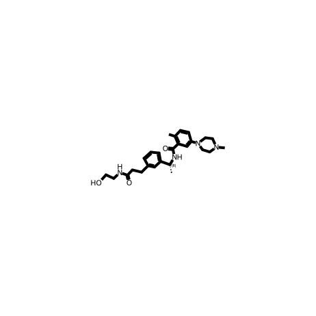 Cc1ccc(N2CCN(C)CC2)cc1C(=O)N[C@H](C)c1cccc(CCC(=O)NCCO)c1